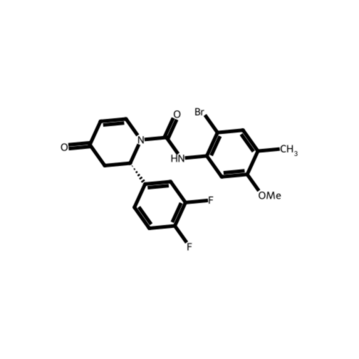 COc1cc(NC(=O)N2C=CC(=O)C[C@H]2c2ccc(F)c(F)c2)c(Br)cc1C